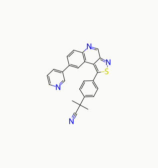 CC(C)(C#N)c1ccc(-c2snc3cnc4ccc(-c5cccnc5)cc4c23)cc1